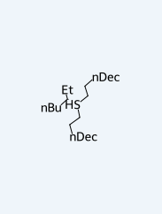 CCCCCCCCCCCC[SH](CCCCCCCCCCCC)C(CC)CCCC